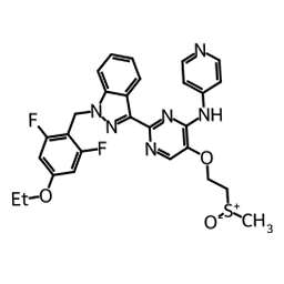 CCOc1cc(F)c(Cn2nc(-c3ncc(OCC[S+](C)[O-])c(Nc4ccncc4)n3)c3ccccc32)c(F)c1